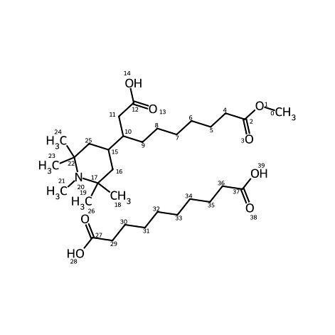 COC(=O)CCCCCCC(CC(=O)O)C1CC(C)(C)N(C)C(C)(C)C1.O=C(O)CCCCCCCCC(=O)O